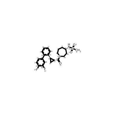 CS(=O)(=O)N[C@H]1CCCN(C(=O)[C@@H]2C[C@H]2c2ccccc2-c2ccc(F)c(F)c2)CC1